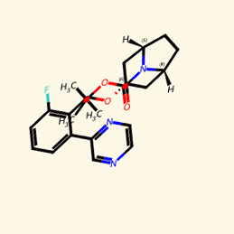 CC(C)(C)OC(=O)N1[C@@H]2CC[C@H]1C[C@@H](OCc1c(F)cccc1-c1cnccn1)C2